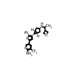 CC(N[C@H]1C[C@@H]2[C@H](C1)[C@H]2c1cc(-c2cnc(N)c(C(F)(F)F)c2)nn1C(C)C)C1COC1